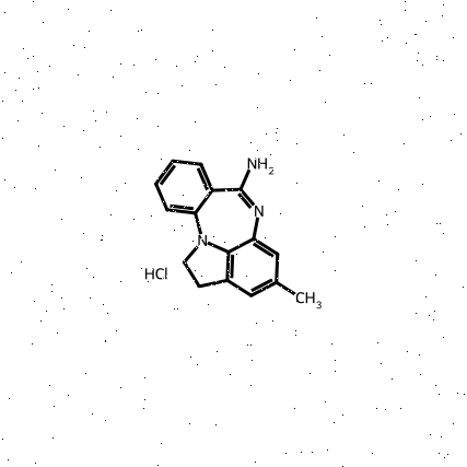 Cc1cc2c3c(c1)N=C(N)c1ccccc1N3CC2.Cl